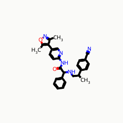 Cc1noc(C)c1-c1ccc(NC(=O)C(NCC(C)c2ccc(C#N)cc2)c2ccccc2)nc1